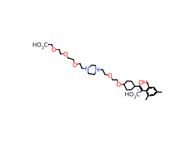 Cc1cc(C)c(/C(C(=O)O)=C(\O)C2CCC(OCCOCCN3CCN(CCOCCOCCOCC(=O)O)CC3)CC2)c(C)c1